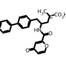 C[C@H](CC(Cc1ccc(-c2ccccc2)cc1)NC(=O)c1cc(=O)cco1)C(=O)O